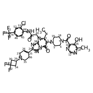 CCc1c(N2CCN(C(=O)c3ncnc(C)c3O)CC2)c(=O)n2nc(C3=CCN(C4CC(F)(F)C4)CC3)nc2n1CC(=O)Nc1ccc(C(F)(F)F)cc1Cl